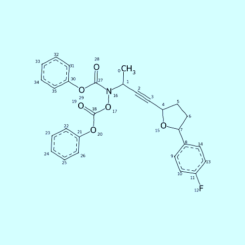 CC(C#CC1CCC(c2ccc(F)cc2)O1)N(OC(=O)Oc1ccccc1)C(=O)Oc1ccccc1